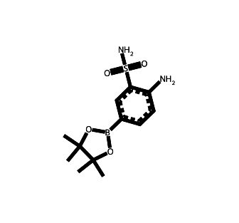 CC1(C)OB(c2ccc(N)c(S(N)(=O)=O)c2)OC1(C)C